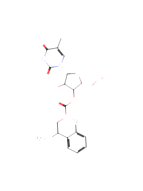 COC(COC(=O)OC1C(O)[C@H](n2cc(C)c(=O)[nH]c2=O)O[C@@H]1CO)c1ccccc1[N+](=O)[O-]